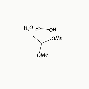 CCO.COC(C)OC.O